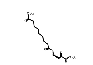 CCCCCCCCNC(=O)/C=C\SC(=O)CCCCCCCC(=O)OC